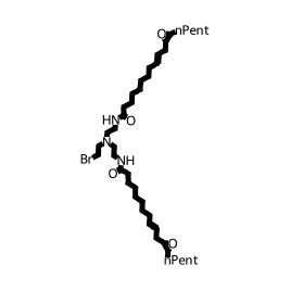 CCCCCC1OC1CC=CCCCCCCCC(=O)NCCN(CCBr)CCNC(=O)CCCCCCCC=CCC1OC1CCCCC